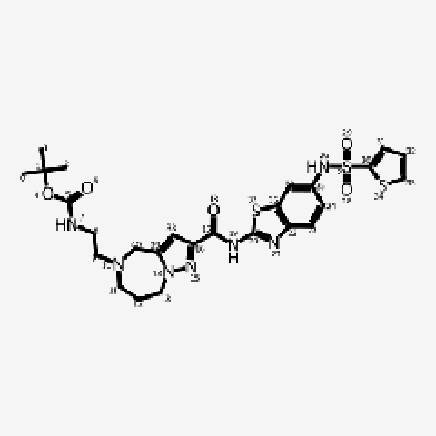 CC(C)(C)OC(=O)NCCN1CCCn2nc(C(=O)Nc3nc4ccc(NS(=O)(=O)c5cccs5)cc4s3)cc2C1